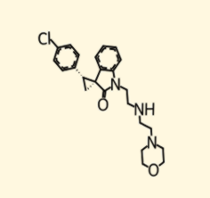 O=C1N(CCNCCN2CCOCC2)c2ccccc2[C@@]12C[C@@H]2c1ccc(Cl)cc1